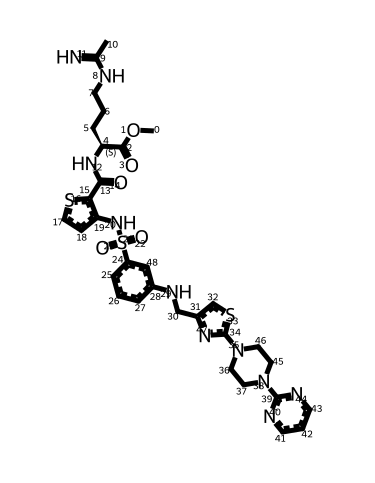 COC(=O)[C@H](CCCNC(C)=N)NC(=O)c1sccc1NS(=O)(=O)c1cccc(NCc2csc(N3CCN(c4ncccn4)CC3)n2)c1